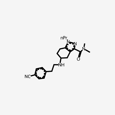 CCCn1nc(C(=O)N(C)C)c2c1CCC(NCCc1ccc(C#N)cc1)C2